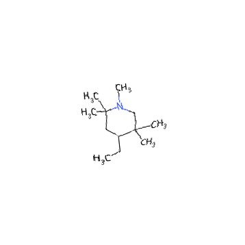 CCC1CC(C)(C)N(C)CC1(C)C